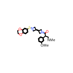 CNCC(C(=O)N1CC(=C2CN(Sc3ccc4c(c3)OCCO4)C2)C1)c1cccc(OC)c1